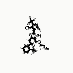 CNCCOc1nc(-c2ccccc2C(F)(F)F)cc2nc(-c3c(Cl)c(C(C)(C)C)nn3C)[nH]c12